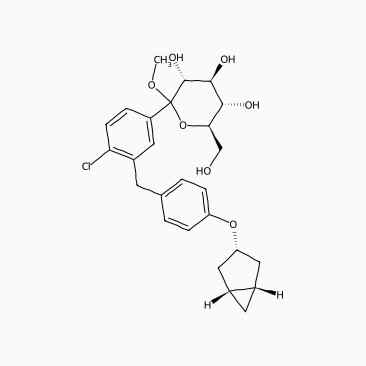 COC1(c2ccc(Cl)c(Cc3ccc(O[C@@H]4C[C@@H]5C[C@@H]5C4)cc3)c2)O[C@H](CO)[C@@H](O)[C@H](O)[C@H]1O